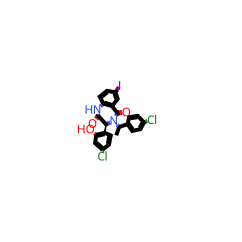 CC(c1ccc(Cl)cc1)N1C(=O)c2cc(I)ccc2NC(=O)[C@@H]1c1ccc(Cl)cc1O